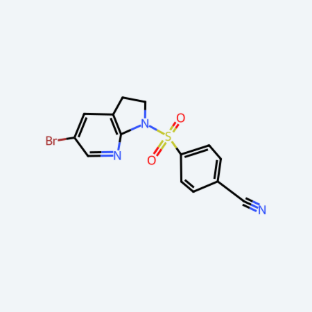 N#Cc1ccc(S(=O)(=O)N2CCc3cc(Br)cnc32)cc1